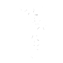 CO/N=C(\C(=O)N[C@@H]1C(=O)N2C(C(=O)O)=C(CN3C=CN4NC(NCCN)=CC=C34)CS[C@@H]12)c1csc(N)n1